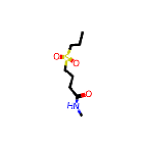 CCCS(=O)(=O)CCCC(=O)NC